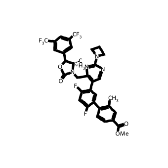 COC(=O)c1ccc(-c2cc(-c3cnc(N4CCC4)nc3CN3C(=O)OC(c4cc(C(F)(F)F)cc(C(F)(F)F)c4)[C@@H]3C)c(F)cc2F)c(C)c1